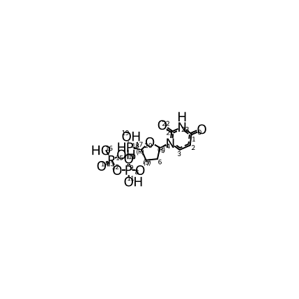 O=c1ccn([C@H]2C[C@H](OP(=O)(O)OP(=O)(O)O)[C@@H](PO)O2)c(=O)[nH]1